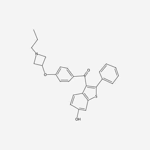 CCCN1CC(Oc2ccc(C(=O)c3c(-c4ccccc4)sc4cc(O)ccc34)cc2)C1